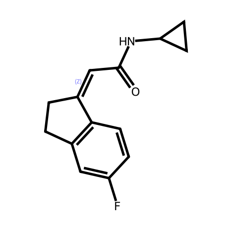 O=C(/C=C1/CCc2cc(F)ccc21)NC1CC1